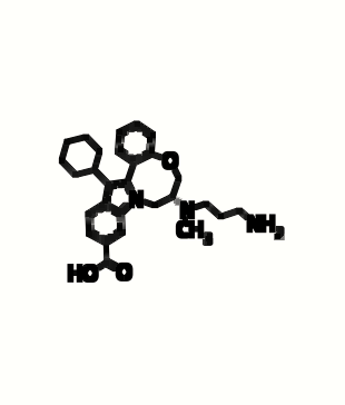 CN(CCCN)[C@H]1COc2ccccc2-c2c(C3CCCCC3)c3ccc(C(=O)O)cc3n2C1